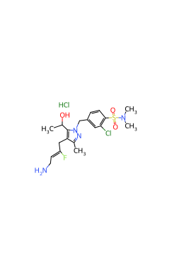 Cc1nn(Cc2ccc(S(=O)(=O)N(C)C)c(Cl)c2)c(C(C)O)c1CC(F)=CCN.Cl